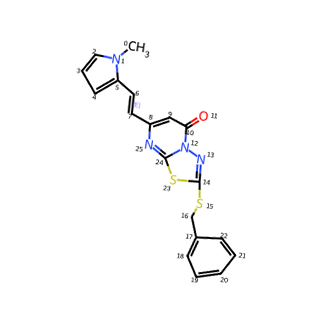 Cn1cccc1/C=C/c1cc(=O)n2nc(SCc3ccccc3)sc2n1